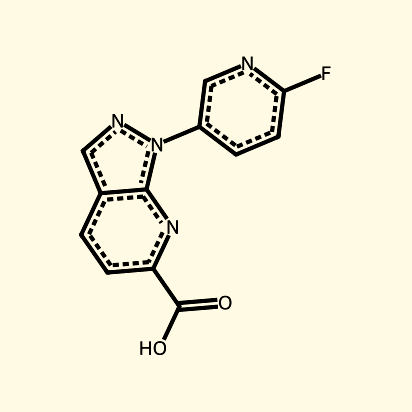 O=C(O)c1ccc2cnn(-c3ccc(F)nc3)c2n1